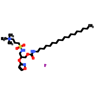 CCCCCCCCCCCCCCCCCCNC(=O)OCC(CNS(=O)(=O)CCC[N+](C)(C)C)Oc1ccon1.[I-]